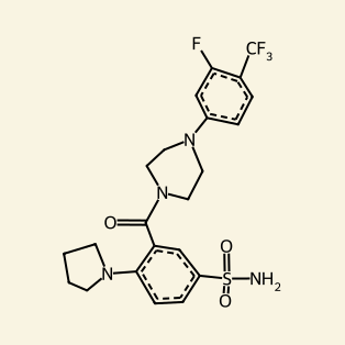 NS(=O)(=O)c1ccc(N2CCCC2)c(C(=O)N2CCN(c3ccc(C(F)(F)F)c(F)c3)CC2)c1